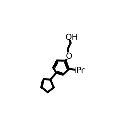 CC(C)c1cc(C2CCCC2)ccc1OCCO